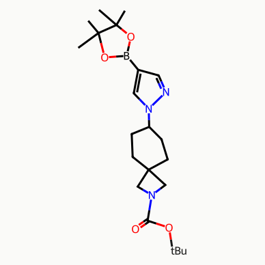 CC(C)(C)OC(=O)N1CC2(CCC(n3cc(B4OC(C)(C)C(C)(C)O4)cn3)CC2)C1